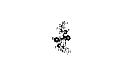 CC[C@H](NC(=O)OC(C)(C)C)C(=O)N1C[C@@H](F)C[C@H]1Cc1c(-c2nc3cc(F)ccc3n2C[C@@H]2C[C@H](F)CN2C(=O)[C@@H](NC(=O)O)C(C)C)[nH]c2ccccc12